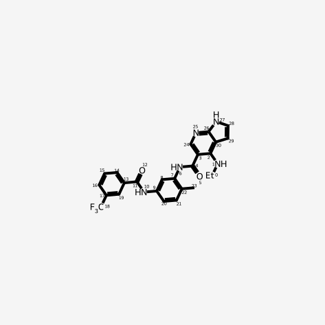 CCNc1c(C(=O)Nc2cc(NC(=O)c3cccc(C(F)(F)F)c3)ccc2C)cnc2[nH]ccc12